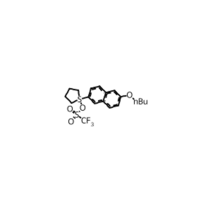 CCCCOc1ccc2cc(S3(OS(=O)(=O)C(F)(F)F)CCCC3)ccc2c1